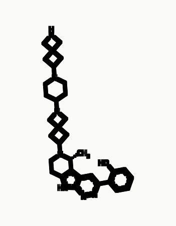 C[C@@H]1c2c([nH]c3nnc(-c4ccccc4O)cc23)CCN1C1CC2(C1)CN(C1CCN(C3CC4(CNC4)C3)CC1)C2